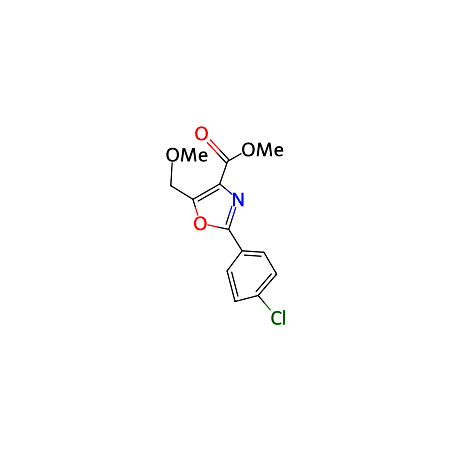 COCc1oc(-c2ccc(Cl)cc2)nc1C(=O)OC